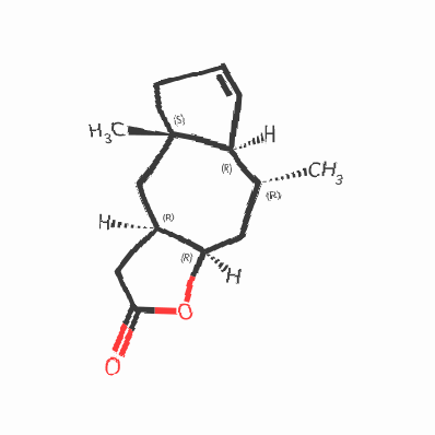 C[C@@H]1C[C@H]2OC(=O)C[C@H]2C[C@]2(C)CC=C[C@@H]12